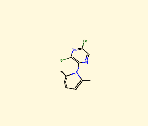 Cc1ccc(C)n1-c1ncc(Br)nc1Br